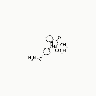 CC(C(=O)c1ccccc1)N(Nc1ccc(C2CC2N)cc1)C(=O)O